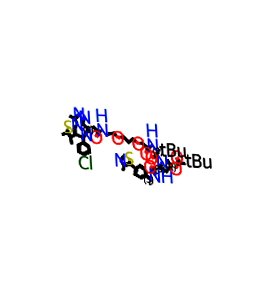 Cc1ncsc1-c1ccc([C@H](C)NC(=O)[C@@H]2C[C@@H](OC(=O)CC(C)(C)C)CN2C(=O)[C@@H](NC(=O)COCCCOCCNC(=O)C[C@@H]2N=C(c3ccc(Cl)cc3)c3c(sc(C)c3C)-n3c(C)nnc32)C(C)(C)C)cc1